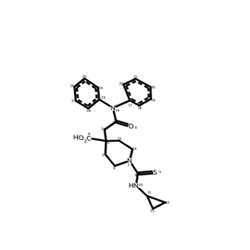 O=C(CC1(C(=O)O)CCN(C(=S)NC2CC2)CC1)N(c1ccccc1)c1ccccc1